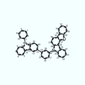 c1ccc(-n2c3ccccc3c3cc(-c4cccc(-n5c6ccccc6c6c7oc8ccccc8c7ccc65)c4)ccc32)cc1